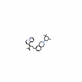 C=C(C)/C(CCC1=CC2=C(CC=C1)CCN(C1CC(C)CC(C)(C)C1)CC2)=C(\C=C/C)c1ccccn1